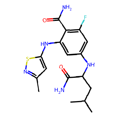 Cc1cc(Nc2cc(NC(CC(C)C)C(N)=O)cc(F)c2C(N)=O)sn1